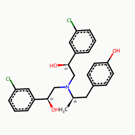 C[C@H](Cc1ccc(O)cc1)N(C[C@@H](O)c1cccc(Cl)c1)C[C@@H](O)c1cccc(Cl)c1